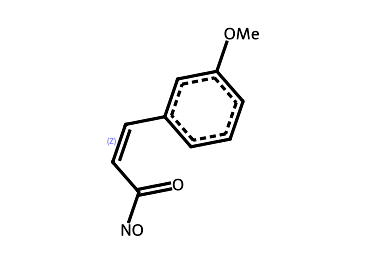 COc1cccc(/C=C\C(=O)N=O)c1